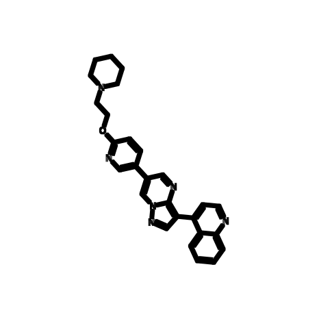 c1ccc2c(-c3cnn4cc(-c5ccc(OCCN6CCCCC6)nc5)cnc34)ccnc2c1